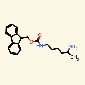 CC(N)CCCCNC(=O)OCC1c2ccccc2-c2ccccc21